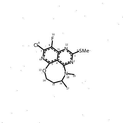 CSc1nc2c3c(nc(Cl)c(F)c3n1)OCCC(C)N2C